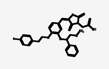 COCC(Oc1cc(C=C2SC(=S)N(CC(=O)O)C2=O)ccc1OCCc1ccc(F)cc1)c1ccccc1